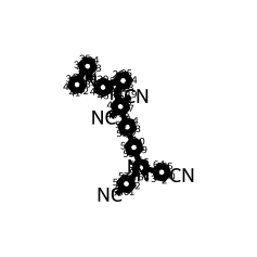 N#Cc1ccc(-c2cc(-c3ccc(-c4ccc(-c5cc(C#N)c(-n6c7ccccc7c7cc(-n8c9ccccc9c9ccccc98)ccc76)cc5C#N)cc4)cc3)nc(-c3ccc(C#N)cc3)n2)cc1